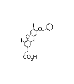 O=C(O)CCc1cc(I)c(Oc2ccc(OCc3ccccc3)c(I)c2)c(I)c1